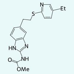 CCc1ccc(SCCc2ccc3[nH]c(NC(=O)OC)nc3c2)nc1